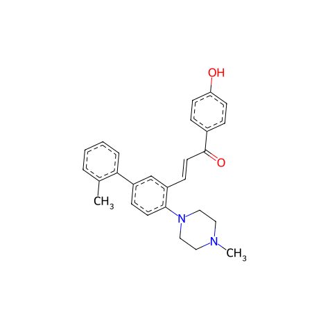 Cc1ccccc1-c1ccc(N2CCN(C)CC2)c(C=CC(=O)c2ccc(O)cc2)c1